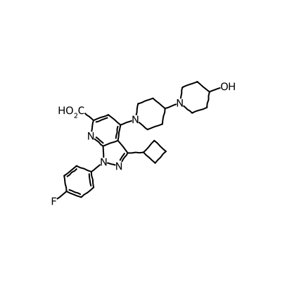 O=C(O)c1cc(N2CCC(N3CCC(O)CC3)CC2)c2c(C3CCC3)nn(-c3ccc(F)cc3)c2n1